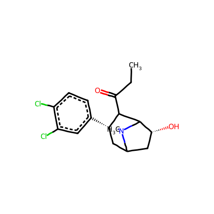 CCC(=O)C1C2[C@H](O)CC(C[C@@H]1c1ccc(Cl)c(Cl)c1)N2C